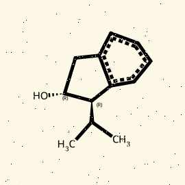 CC(C)[C@@H]1c2ccccc2C[C@H]1O